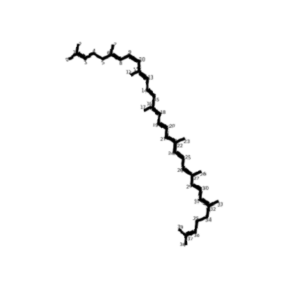 CC(C)=CCC/C(C)=C/C=C\C(C)=C\C=C\C(C)=C\C=C\C=C(C)\C=C\C=C(C)\C=C\C=C(/C)CCC=C(C)C